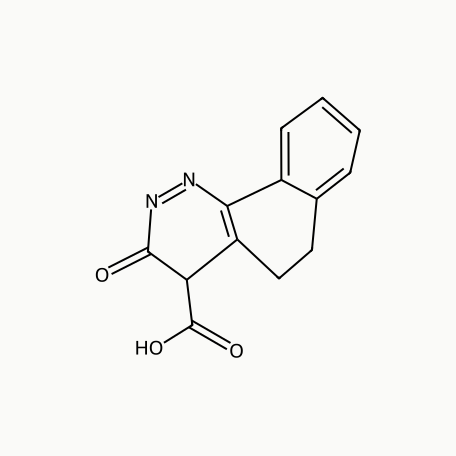 O=C(O)C1C(=O)N=NC2=C1CCc1ccccc12